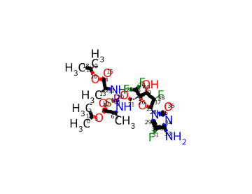 CC(C)OC(=O)[C@H](C)NP(=S)(N[C@@H](C)C(=O)OC(C)C)OC[C@@]1(C(F)F)O[C@@H](n2cc(F)c(N)nc2=O)[C@@H](F)[C@@H]1O